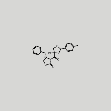 Cc1ccc(C2CC(O)(C(=O)N3C(=O)OC[C@@H]3Cc3ccccc3)CO2)cc1